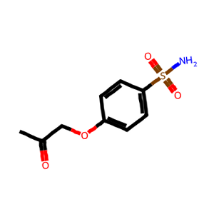 CC(=O)COc1ccc(S(N)(=O)=O)cc1